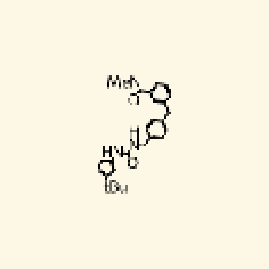 CNC(=O)c1cccc(Cc2ccc(CNC(=O)NC3=CC(C(C)(C)C)=CC3)cc2)c1